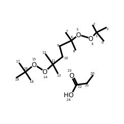 CC(C)(C)OOC(C)(C)CCC(C)(C)OOC(C)(C)C.CCC(=O)O